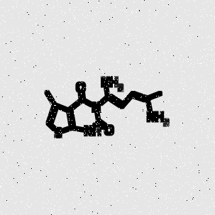 C/C(N)=C/C=C(\N)n1c(=O)[nH]c2scc(C)c2c1=O